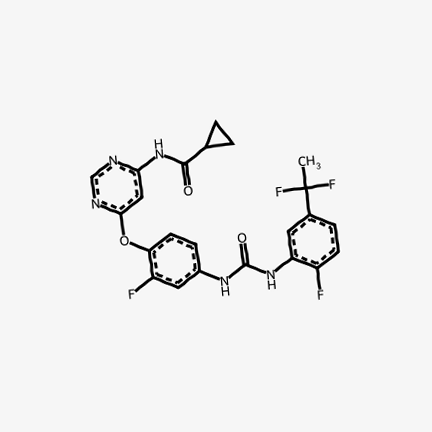 CC(F)(F)c1ccc(F)c(NC(=O)Nc2ccc(Oc3cc(NC(=O)C4CC4)ncn3)c(F)c2)c1